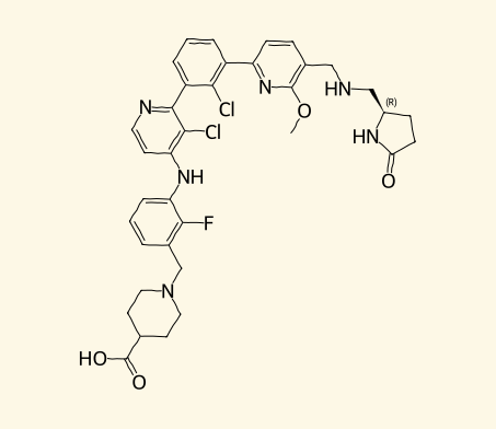 COc1nc(-c2cccc(-c3nccc(Nc4cccc(CN5CCC(C(=O)O)CC5)c4F)c3Cl)c2Cl)ccc1CNC[C@H]1CCC(=O)N1